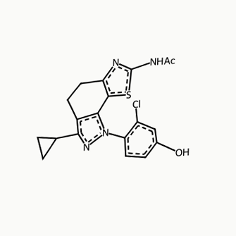 CC(=O)Nc1nc2c(s1)-c1c(c(C3CC3)nn1-c1ccc(O)cc1Cl)CC2